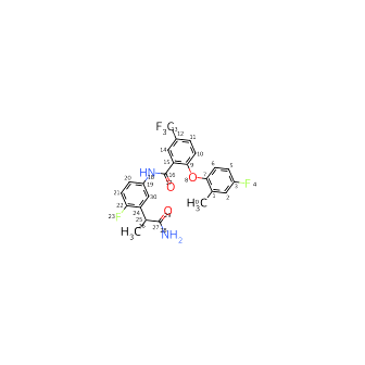 Cc1cc(F)ccc1Oc1ccc(C(F)(F)F)cc1C(=O)Nc1ccc(F)c(C(C)C(N)=O)c1